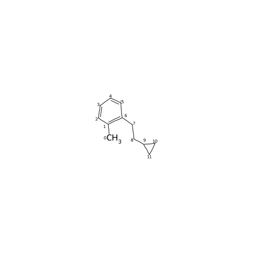 Cc1ccc[c]c1CCC1CC1